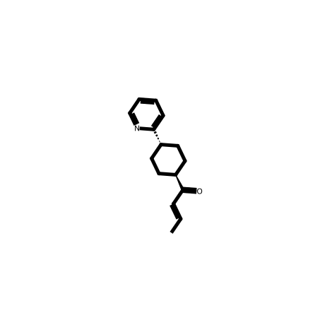 C/C=C/C(=O)[C@H]1CC[C@H](c2ccccn2)CC1